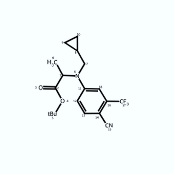 CC(C(=O)OC(C)(C)C)N(CC1CC1)c1ccc(C#N)c(C(F)(F)F)c1